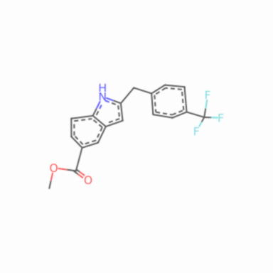 COC(=O)c1ccc2[nH]c(Cc3ccc(C(F)(F)F)cc3)cc2c1